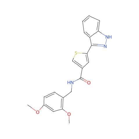 COc1ccc(CNC(=O)c2csc(-c3n[nH]c4ccccc34)c2)c(OC)c1